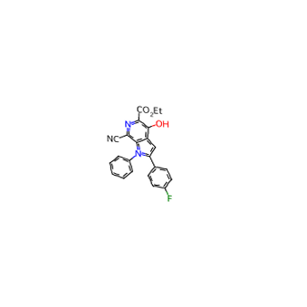 CCOC(=O)c1nc(C#N)c2c(cc(-c3ccc(F)cc3)n2-c2ccccc2)c1O